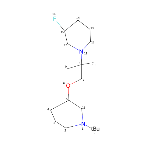 CC(C)(C)N1CCCC(OCC(C)(C)N2CCCC(F)C2)C1